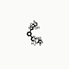 CN1CCC(O)(c2cc(-c3cccc(-c4ccnc(Nc5cnn(C)c5N)n4)c3)no2)C1=O